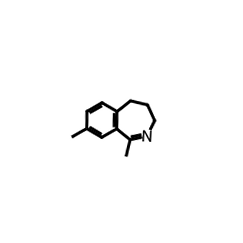 CC1=NCCCc2ccc(C)cc21